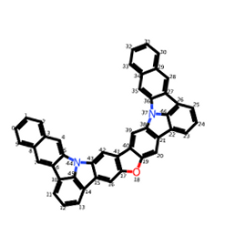 c1ccc2cc3c(cc2c1)c1cccc2c4cc5oc6cc7c8cccc9c%10cc%11ccccc%11cc%10n(c7cc6c5cc4n3c12)c98